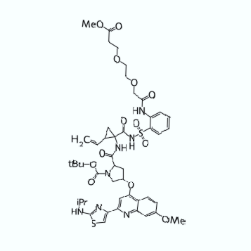 C=CC1CC1(NC(=O)C1CC(Oc2cc(-c3csc(NC(C)C)n3)nc3cc(OC)ccc23)CN1C(=O)OC(C)(C)C)C(=O)NS(=O)(=O)c1ccccc1NC(=O)COCCOCCC(=O)OC